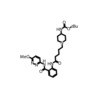 COc1ccc(NC(=O)c2ccccc2NC(=O)CCCCN2CCC(NC(=O)OC(C)(C)C)CC2)nn1